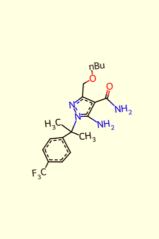 CCCCOCc1nn(C(C)(C)c2ccc(C(F)(F)F)cc2)c(N)c1C(N)=O